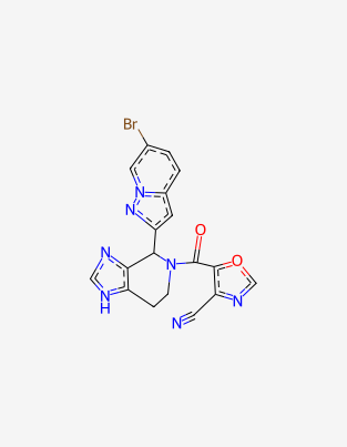 N#Cc1ncoc1C(=O)N1CCc2[nH]cnc2C1c1cc2ccc(Br)cn2n1